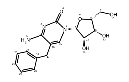 Nc1nc(=O)n([C@@H]2O[C@H](CO)[C@H](O)[C@H]2O)cc1Cc1ccccc1